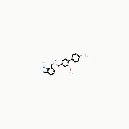 CCOc1cc(C(=O)N(C)Cc2cccc3cn[nH]c23)ccc1-c1ccc(C#N)cc1